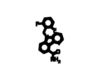 NC(=O)c1cccc2c1c1[c]cccc1n2Cc1c(F)cccc1F